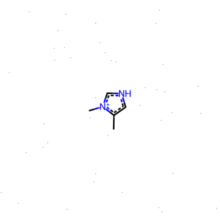 Cc1c[nH]c[n+]1C